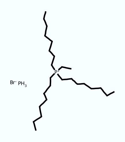 CCCCCCCC[P+](CC)(CCCCCCCC)CCCCCCCC.P.[Br-]